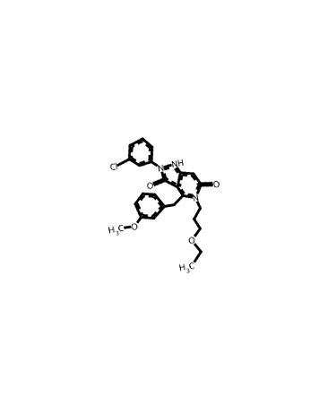 CCOCCCn1c(Cc2cccc(OC)c2)c2c(=O)n(-c3cccc(Cl)c3)[nH]c2cc1=O